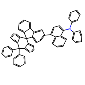 c1ccc(N(c2ccccc2)c2ccc(-c3ccc4c(c3)-c3ccccc3C43c4ccccc4C(c4ccccc4)(c4ccccc4)c4ccccc43)c3ccccc23)cc1